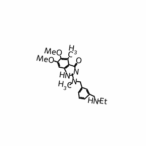 CCNCc1cccc(CN(C)c2nc(=O)c3c(C)c(OC)c(OC)cc3[nH]2)c1